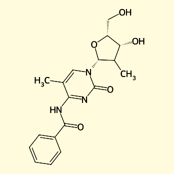 Cc1cn([C@@H]2O[C@H](CO)[C@H](O)C2C)c(=O)nc1NC(=O)c1ccccc1